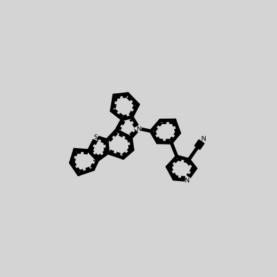 N#Cc1cnccc1-c1cccc(-n2c3ccccc3c3c4sc5ccccc5c4ccc32)c1